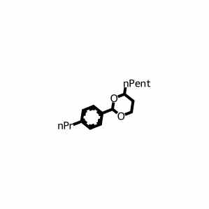 CCCCCC1CCOC(c2ccc(CCC)cc2)O1